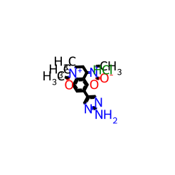 CCN(C(=O)[O-])C1C[C@H](C)[N@+](C)(C(C)=O)c2ccc(-c3cnc(N)nc3)cc21.Cl